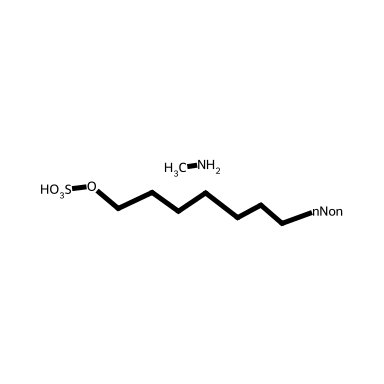 CCCCCCCCCCCCCCCCOS(=O)(=O)O.CN